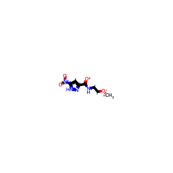 COCCNC(=O)c1cc([N+](=O)[O-])[nH]n1